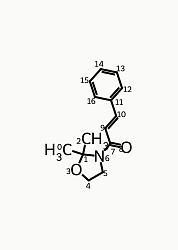 CC1(C)OCCN1C(=O)C=Cc1ccccc1